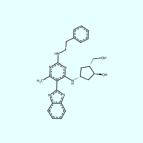 Cc1nc(NCCc2ccccc2)nc(N[C@@H]2C[C@H](CO)[C@@H](O)C2)c1-c1nc2ccccc2s1